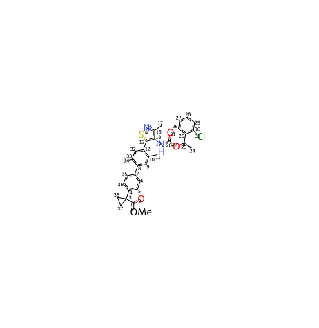 COC(=O)C1(c2ccc(-c3cc(C)c(-c4snc(C)c4NC(=O)O[C@H](C)c4ccccc4Cl)cc3F)cc2)CC1